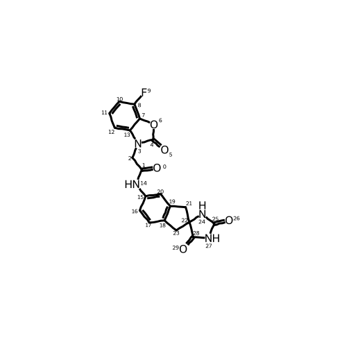 O=C(Cn1c(=O)oc2c(F)cccc21)Nc1ccc2c(c1)CC1(C2)NC(=O)NC1=O